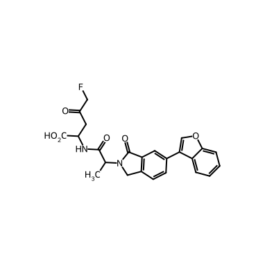 CC(C(=O)NC(CC(=O)CF)C(=O)O)N1Cc2ccc(-c3coc4ccccc34)cc2C1=O